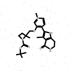 C[n+]1ccc(-c2[nH]c3c(c2I)C(=O)NCC3)c(OCC2(C)CCN2C(=O)OC(C)(C)C)c1